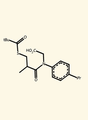 CC(CSC(=O)C(C)(C)C)C(=O)N(CC(=O)O)c1ccc(C(C)C)cc1